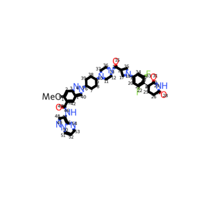 COc1cc2nn(C3CCC(N4CCN(C(=O)C5CN(c6cc(F)c([C@H]7CCC(=O)NC7=O)c(F)c6)C5)CC4)CC3)cc2cc1C(=O)Nc1cnn2cccnc12